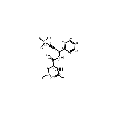 COCC(NC(C)=O)C(=O)NC(C#C[Si](C)(C)C)c1ccccc1